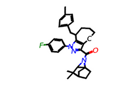 Cc1ccc(CC2CCCCc3c(C(=O)N4C5C(C)(C)C6CCC54C6)nn(-c4ccc(F)cc4)c32)cc1